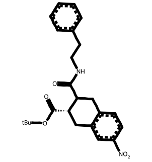 CC(C)(C)OC(=O)[C@H]1Cc2cc([N+](=O)[O-])ccc2CC1C(=O)NCCc1ccccc1